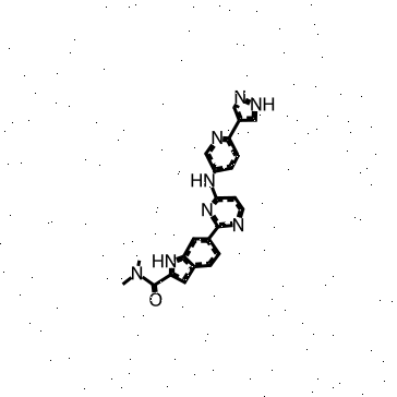 CN(C)C(=O)c1cc2ccc(-c3nccc(Nc4ccc(-c5cn[nH]c5)nc4)n3)cc2[nH]1